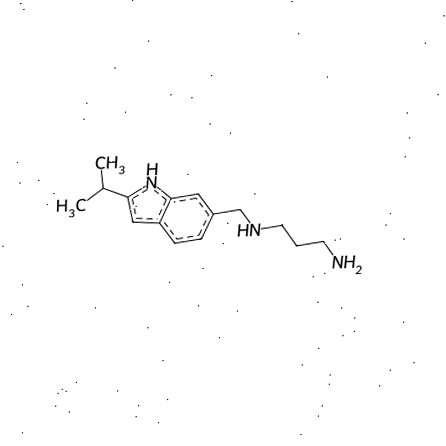 CC(C)c1cc2ccc(CNCCCN)cc2[nH]1